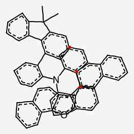 CC1(C)c2ccccc2-c2c(-c3ccccc3N(c3ccccc3-c3ccc4ccccc4c3)c3ccccc3-c3cccc4oc5c6ccccc6ccc5c34)cccc21